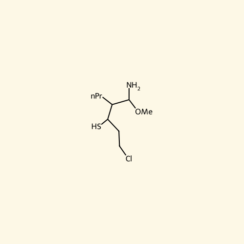 CCCC(C(S)CCCl)C(N)OC